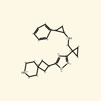 c1ccc(C2CC2NCC2(c3noc(C4CC5(CCNCC5)C4)n3)CC2)cc1